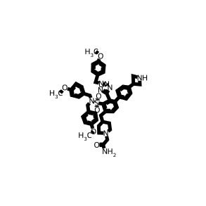 COc1ccc(CN(Cc2ccc(OC)cc2)S(=O)(=O)c2c(CC3CCN(CC(N)=O)CC3)ccc(-c3ccc(C4CNC4)cc3)c2-c2nnn(Cc3ccc(OC)cc3)n2)cc1